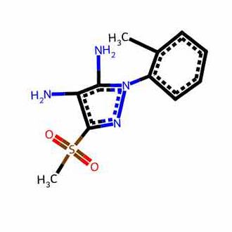 Cc1ccccc1-n1nc(S(C)(=O)=O)c(N)c1N